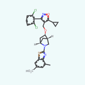 Cc1cc(C(=O)O)cc2sc(N3C[C@@H]4C[C@H]3C[C@H]4OCc3c(-c4c(Cl)cccc4Cl)noc3C3CC3)nc12